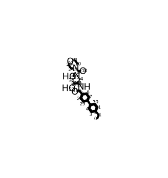 CCc1ccc(-c2ccc(C(=O)N[C@H](CN(O)C(=O)N3CCOCC3)[C@@H](C)O)cc2)cc1